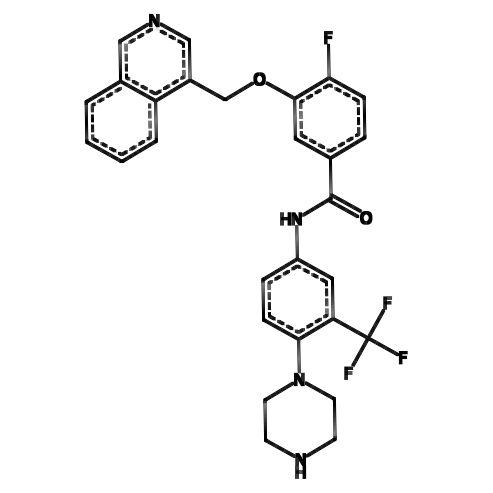 O=C(Nc1ccc(N2CCNCC2)c(C(F)(F)F)c1)c1ccc(F)c(OCc2cncc3ccccc23)c1